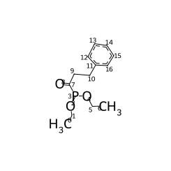 CCOP(OCC)C(=O)CCc1ccccc1